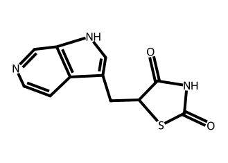 O=C1NC(=O)C(Cc2c[nH]c3cnccc23)S1